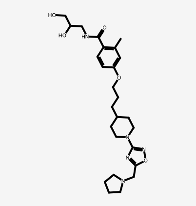 Cc1cc(OCCCC2CCN(c3noc(CN4CCCC4)n3)CC2)ccc1C(=O)NCC(O)CO